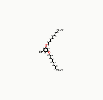 [CH2]Cc1cc(OCCCCCCCCCCCCCCCCCCC)cc(OCCCCCCCCCCCCCCCCCCC)c1